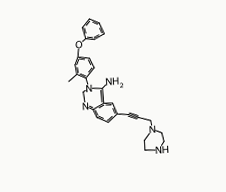 Cc1cc(Oc2ccccc2)ccc1N1CN=c2ccc(C#CCN3CCNCC3)cc2=C1N